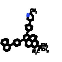 CC1CC=C(c2ccc(-c3cc(-c4ccc(-c5cccc6ccccc56)cc4)c4ccc5cc(C(C)(C)C)cc6ccc3c4c65)cc2)C=N1